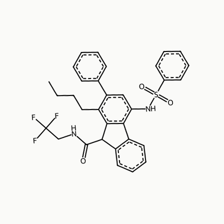 CCCCc1c(-c2ccccc2)cc(NS(=O)(=O)c2ccccc2)c2c1C(C(=O)NCC(F)(F)F)c1ccccc1-2